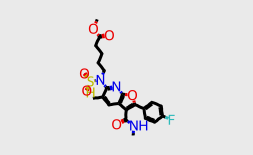 CNC(=O)c1c(-c2ccc(F)cc2)oc2nc(N(CCCCC(=O)OC)[SH](=O)=O)c(C)cc12